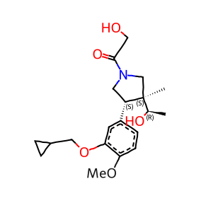 COc1ccc([C@@H]2CN(C(=O)CO)C[C@@]2(C)[C@@H](C)O)cc1OCC1CC1